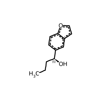 CCC[C@H](O)c1ccc2occc2c1